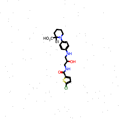 CCC1(C(=O)O)CCCCN1c1ccc(NCC(O)CNC(=O)c2ccc(Cl)s2)cc1